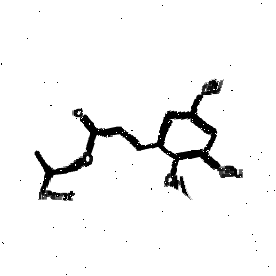 CCCCCC(C)OC(=O)CCc1cc(C(C)(C)C)cc(C(C)(C)C)c1O